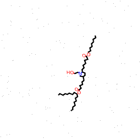 CCCCCCCCCOC(=O)CCCCCCC1CCC(CCCCCC(=O)OC(CCCCCCCC)CCCCCCCC)CN1CCO